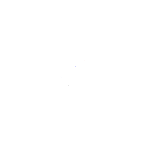 O=[N+]1C=NCC1